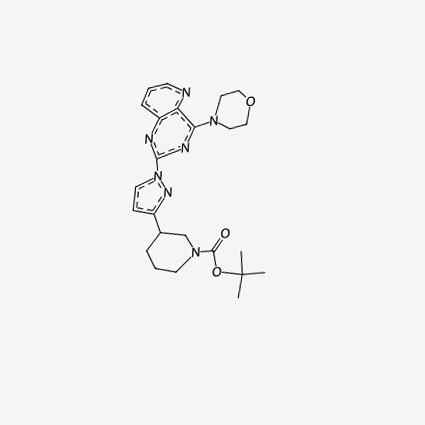 CC(C)(C)OC(=O)N1CCCC(c2ccn(-c3nc(N4CCOCC4)c4ncccc4n3)n2)C1